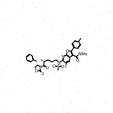 CNC(=O)c1c(-c2ccc(C)cc2)oc2nc(N(CCC[C@H](C)C(=O)N3C(=O)OC[C@@H]3Cc3ccccc3)S(C)(=O)=O)c(I)cc12